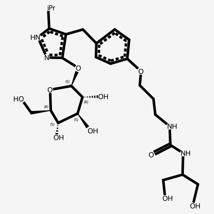 CC(C)c1[nH]nc(O[C@@H]2O[C@H](CO)[C@@H](O)[C@H](O)[C@H]2O)c1Cc1ccc(OCCCNC(=O)NC(CO)CO)cc1